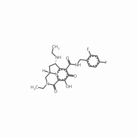 CCN[C@H]1C[C@H]2CN(CC)C(=O)c3c(O)c(=O)c(C(=O)NCc4ccc(F)cc4F)c1n32